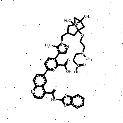 Cc1c(-c2ccc(-c3ccc4nccc(C(=O)Nc5nc6ccccc6s5)c4c3)nc2C(=O)O)cnn1CC1CC2(OCCN(C)CCS(=O)O)CC3(C)C[SH]32(C)C1